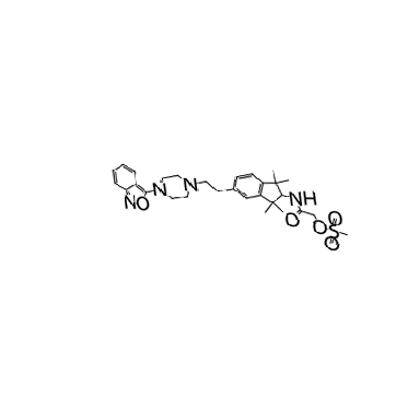 CC1(C)c2ccc(CCN3CCN(c4onc5ccccc45)CC3)cc2C(C)(C)C1NC(=O)COS(C)(=O)=O